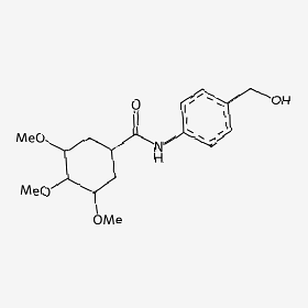 COC1CC(C(=O)Nc2ccc(CO)cc2)CC(OC)C1OC